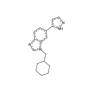 c1cc(-c2ccc3ncn(CC4CCCCC4)c3c2)[nH]n1